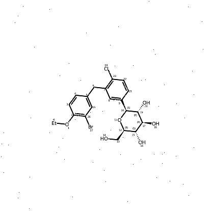 CCOc1ccc(Cc2cc([C@@H]3O[C@H](CO)[C@@H](O)[C@H](O)[C@H]3O)ccc2Cl)cc1Br